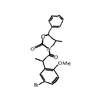 COc1ccc(Br)cc1C(C)C(=O)N1C(=O)OC(c2ccccc2)C1C